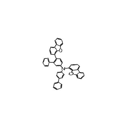 c1ccc(-c2ccc(N(c3ccc(-c4cccc5c4oc4ccccc45)c(-c4ccccc4)c3)c3cccc4c3oc3ccccc34)cc2)cc1